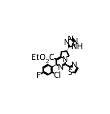 CCOC(=O)C1=C2C[C@H](c3nnn[nH]3)CN2C(c2nccs2)=N[C@H]1c1ccc(F)cc1Cl